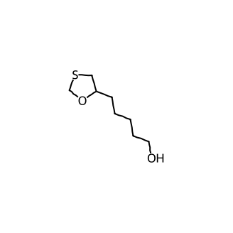 OCCCCCC1CSCO1